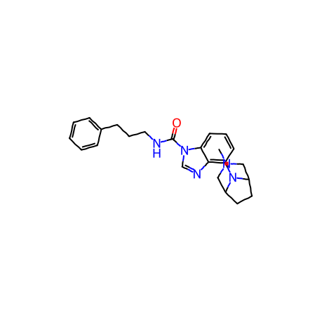 CN1CC2CCC(C1)N2c1cccc2c1ncn2C(=O)NCCCc1ccccc1